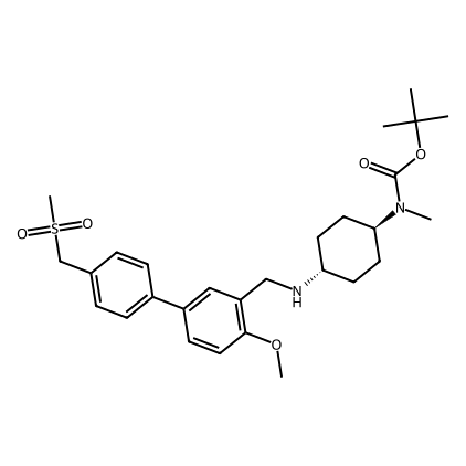 COc1ccc(-c2ccc(CS(C)(=O)=O)cc2)cc1CN[C@H]1CC[C@H](N(C)C(=O)OC(C)(C)C)CC1